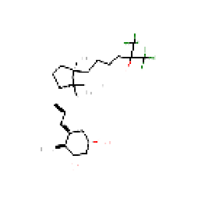 C=C1C(=C/C=C/[C@@H]2CC[C@](C)([C@@H](C)CCCC(O)(C(F)(F)F)C(F)(F)F)C2(C)C)C[C@@H](O)C[C@@H]1O